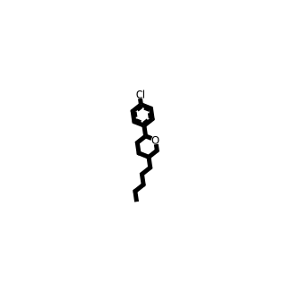 CCCCCC1CCC(c2ccc(Cl)cc2)OC1